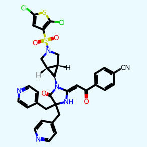 N#Cc1ccc(C(=O)/C=C2\NC(Cc3ccncc3)(Cc3ccncc3)C(=O)N2[C@H]2[C@@H]3CN(S(=O)(=O)c4cc(Cl)sc4Cl)C[C@@H]32)cc1